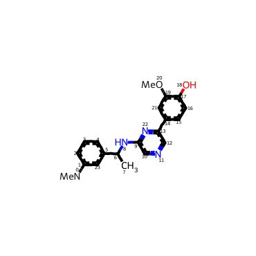 CNc1cccc(C(C)Nc2cncc(-c3ccc(O)c(OC)c3)n2)c1